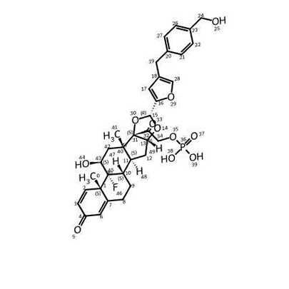 C[C@]12C=CC(=O)C=C1CC[C@H]1[C@@H]3C[C@H]4O[C@@H](c5cc(Cc6ccc(CO)cc6)co5)O[C@@]4(C(=O)COP(=O)(O)O)[C@@]3(C)C[C@H](O)[C@@]12F